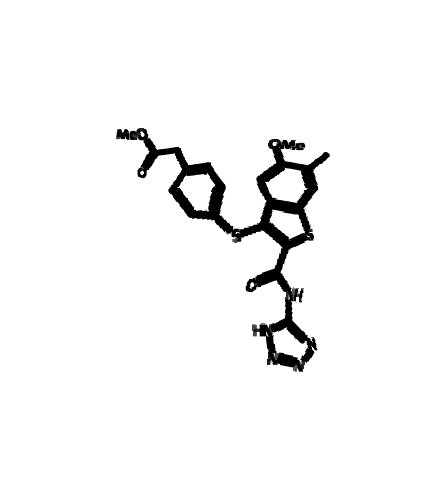 COC(=O)Cc1ccc(Sc2c(C(=O)Nc3nnn[nH]3)sc3cc(C)c(OC)cc23)cc1